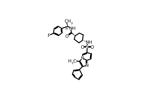 Cc1c(-c2ccccc2)nc2ccc(S(=O)(=O)N[C@H]3CC[C@H](C(=O)N[C@H](C)c4ccc(F)cc4)CC3)cn12